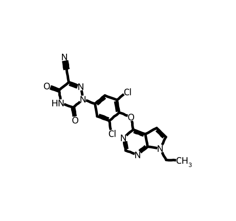 CCn1ccc2c(Oc3c(Cl)cc(-n4nc(C#N)c(=O)[nH]c4=O)cc3Cl)ncnc21